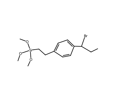 CCC(Br)c1ccc(CC[Si](OC)(OC)OC)cc1